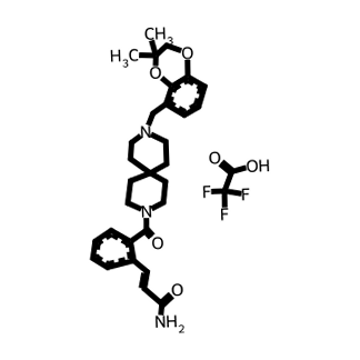 CC1(C)COc2cccc(CN3CCC4(CC3)CCN(C(=O)c3ccccc3C=CC(N)=O)CC4)c2O1.O=C(O)C(F)(F)F